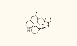 CC(C)N1CCCC2(CC(CC(C)N3CCCC4(CCCN4)C3)CCN2)C1